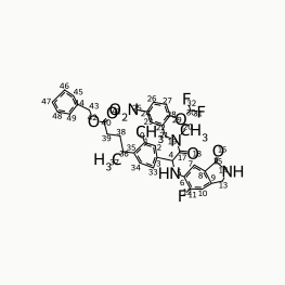 Cc1cc(C(Nc2cc3c(cc2F)CNC3=O)C(=O)N(C)Cc2cc([N+](=O)[O-])ccc2OC(F)F)ccc1[C@@H](C)CCC(=O)OCc1ccccc1